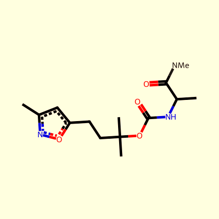 CNC(=O)C(C)NC(=O)OC(C)(C)CCc1cc(C)no1